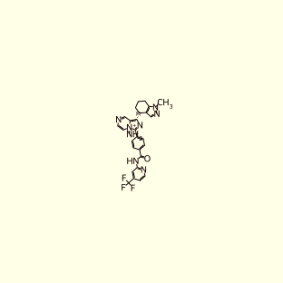 Cn1ncc2c1CCC[C@H]2C1=C2C=NC=C[N+]2(N)C(c2ccc(C(=O)Nc3cc(C(F)(F)F)ccn3)cc2)=N1